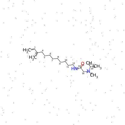 C=CC(=C)CCCCCCCCCNC(=O)CN(C)C(C)C